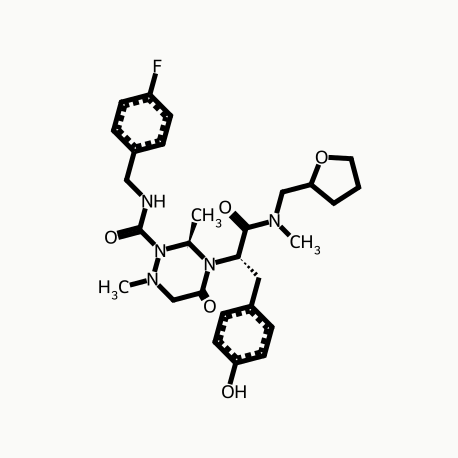 C[C@H]1N([C@@H](Cc2ccc(O)cc2)C(=O)N(C)CC2CCCO2)C(=O)CN(C)N1C(=O)NCc1ccc(F)cc1